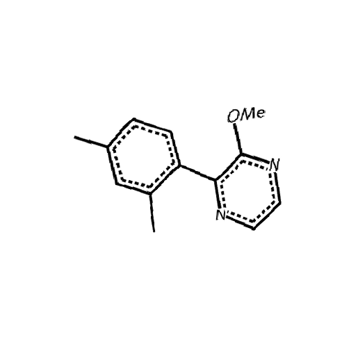 COc1nccnc1-c1ccc(C)cc1C